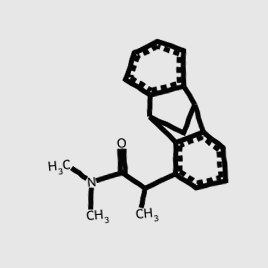 CC(C(=O)N(C)C)c1cccc2c1C1CC2c2ccccc21